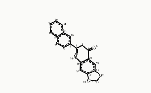 O=C1CC(c2cnc3ccccc3c2)=Nc2cc3c(cc21)OCO3